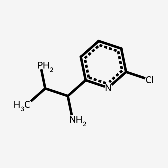 CC(P)C(N)c1cccc(Cl)n1